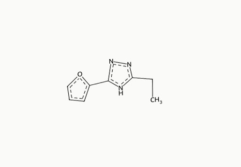 CCc1nnc(-c2ccco2)[nH]1